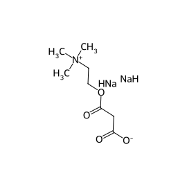 C[N+](C)(C)CCOC(=O)CC(=O)[O-].[NaH].[NaH]